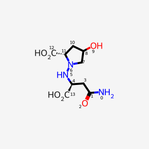 NC(=O)C[C@H](NN1CC(O)C[C@H]1C(=O)O)C(=O)O